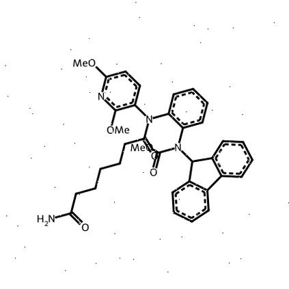 COC(=O)N(c1ccccc1N(C(=O)CCCCCC(N)=O)c1ccc(OC)nc1OC)C1c2ccccc2-c2ccccc21